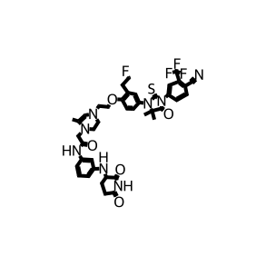 CC1=CN(CCOc2ccc(N3C(=S)N(c4ccc(C#N)c(C(F)(F)F)c4)C(=O)C3(C)C)cc2CCF)CCN1CC(=O)Nc1cccc(NC2CCC(=O)NC2=O)c1